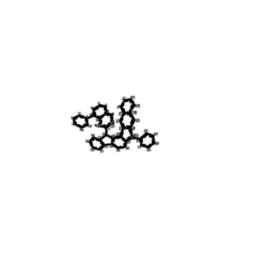 c1ccc(-c2cccc3cnc(C4c5ccccc5-c5ccc6c(c54)c4cc5ccccc5cc4n6-c4ccccc4)nc23)cc1